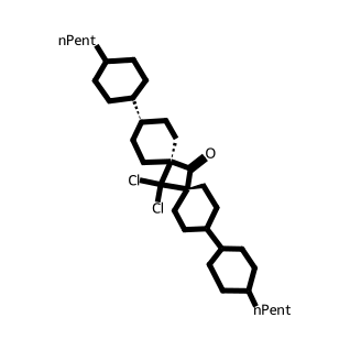 CCCCCC1CCC(C2CC[C@]3(CC2)C(=O)[C@@]2(CC[C@@H](C4CCC(CCCCC)CC4)CC2)C3(Cl)Cl)CC1